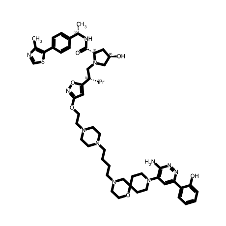 Cc1ncsc1-c1ccc([C@H](C)NC(=O)[C@@H]2C[C@@H](O)CN2C[C@@H](c2cc(OCCN3CCN(CCCCN4CCOC5(CCN(c6cc(-c7ccccc7O)nnc6N)CC5)C4)CC3)no2)C(C)C)cc1